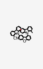 Cc1cccc2c3ccccc3n(-c3cccc4oc5ccc(-n6c7ccccc7c7cccc(C#N)c76)cc5c34)c12